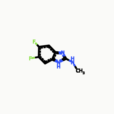 CNc1nc2cc(F)c(F)cc2[nH]1